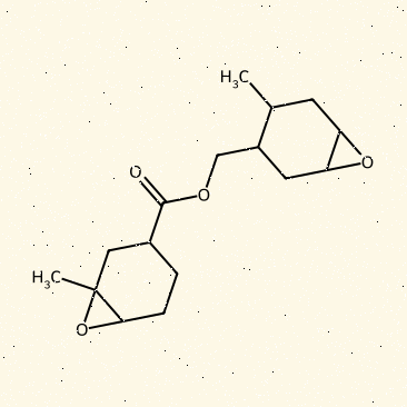 CC1CC2OC2CC1COC(=O)C1CCC2OC2(C)C1